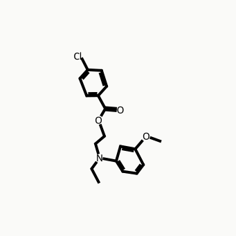 CCN(CCOC(=O)c1ccc(Cl)cc1)c1cccc(OC)c1